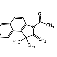 C=C1N(C(C)=O)c2ccc3ccccc3c2C1(C)C